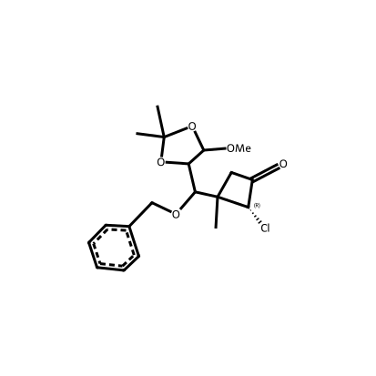 COC1OC(C)(C)OC1C(OCc1ccccc1)C1(C)CC(=O)[C@@H]1Cl